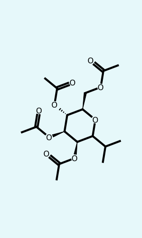 CC(=O)OC[C@H]1OC(C(C)C)[C@@H](OC(C)=O)[C@@H](OC(C)=O)[C@@H]1OC(C)=O